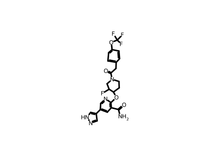 NC(=O)c1cc(-c2cn[nH]c2)cnc1OC1CCN(C(=O)Cc2ccc(OC(F)(F)F)cc2)CC1F